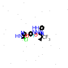 O=C(Nc1ccc(Oc2ccnc3[nH]cc(Cl)c23)cc1F)Nc1cc(C(C2CC2)C(F)(F)F)nn1-c1ccccc1